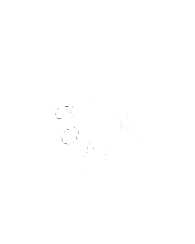 BB.c1cc(CP(C2CCCCC2)C2CCCCC2)nc(-c2cccc(CP(C3CCCCC3)C3CCCCC3)n2)c1